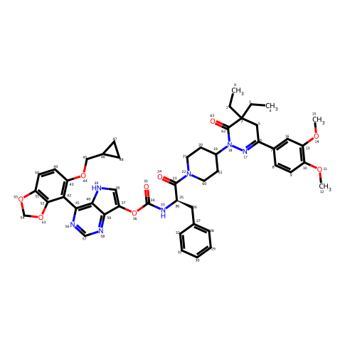 CCC1(CC)CC(c2ccc(OC)c(OC)c2)=NN(C2CCN(C(=O)[C@@H](Cc3ccccc3)NC(=O)Oc3c[nH]c4c(-c5c(OCC6CC6)ccc6c5OCO6)ncnc34)CC2)C1=O